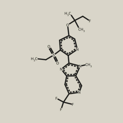 CCS(=O)(=O)c1cc(OC(C)(C)CF)cnc1-c1nc2cc(C(F)(F)F)ncc2n1C